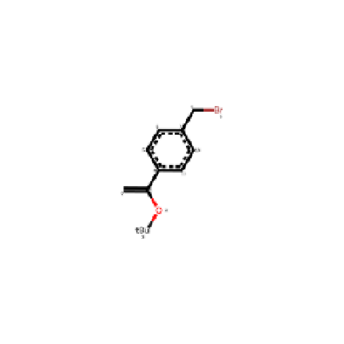 C=C(OC(C)(C)C)c1ccc(CBr)cc1